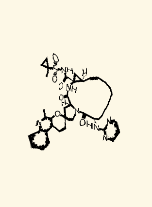 Cc1nc2ccccc2c2c1O[C@]1(CC2)C[C@H]2C(=O)N[C@]3(C(=O)NS(=O)(=O)C4(C)CC4)C[C@H]3C=CCCCCC[C@H](Nc3ncccn3)C(=O)N2C1